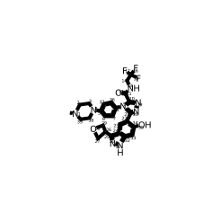 CN1CCN(c2ccc(-n3c(C(=O)NCC(F)(F)F)nnc3-c3cc4c(C5COC5)n[nH]c4cc3O)cc2)CC1